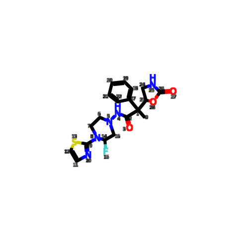 CC(C(=O)NN1CCN(c2nccs2)C(F)C1)(c1ccccc1)C1CNC(=O)O1